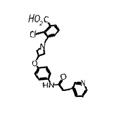 O=C(Cc1cccnc1)Nc1ccc(OC2CN(c3cccc(C(=O)O)c3Cl)C2)cc1